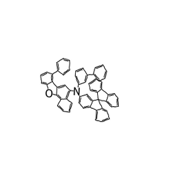 c1ccc(-c2cccc(N(c3ccc4c(c3)C3(c5ccccc5-c5ccccc53)c3ccccc3-4)c3cc4c(oc5cccc(-c6ccccc6)c54)c4ccccc34)c2)cc1